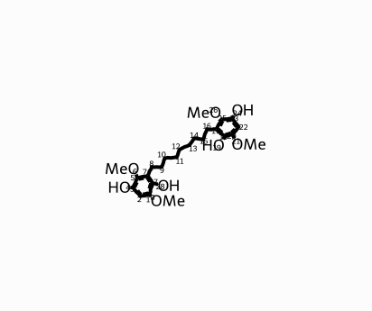 COc1cc(O)c(OC)c(CCCCCCCCCc2c(O)c(OC)cc(O)c2OC)c1O